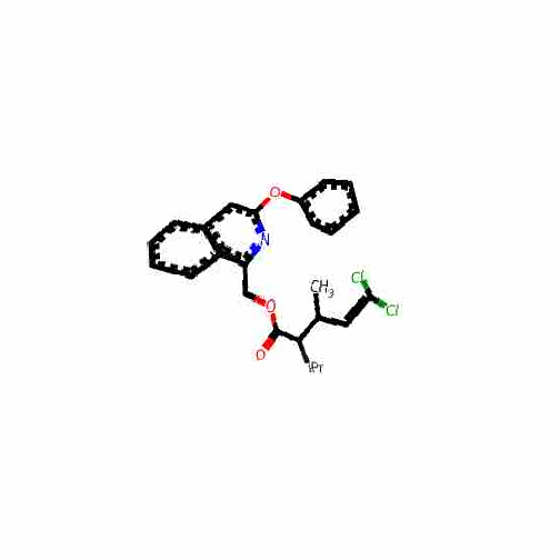 CC(C)C(C(=O)OCc1nc(Oc2ccccc2)cc2ccccc12)C(C)C=C(Cl)Cl